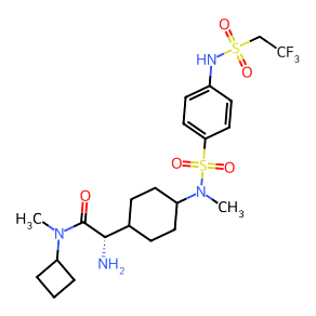 CN(C(=O)[C@@H](N)C1CCC(N(C)S(=O)(=O)c2ccc(NS(=O)(=O)CC(F)(F)F)cc2)CC1)C1CCC1